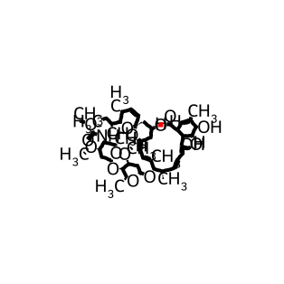 CCOC(=O)N[C@@H]1[C@H](C)OC(O[C@H]2[C@H](C)OC(O[C@@H]3/C(C)=C/C[C@@H]4C[C@@H](C[C@]5(C=C[C@H](C)[C@@H]([C@@H](C)CC)O5)O4)OC(=O)[C@@H]4C=C(C)[C@@H](O)[C@H]5OC/C(=C\C=C\[C@@H]3C)[C@]54O)C[C@@H]2OC)C[C@@H]1OC